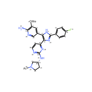 COc1cc(-c2[nH]c(-c3ccc(F)cc3)nc2-c2ccnc(N[C@@H]3CCN(C(C)=O)C3)n2)cnc1N